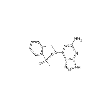 CS(=O)(=O)c1ccccc1COc1cc(N)nc2[nH]nnc12